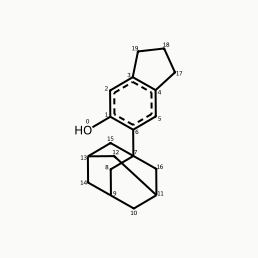 Oc1cc2c(cc1C13CC4CC(CC(C4)C1)C3)CCC2